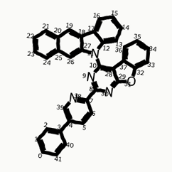 c1ccc(-c2ccc(-c3nc(-n4c5ccccc5c5cc6ccccc6cc54)c4c(n3)oc3ccccc34)nc2)cc1